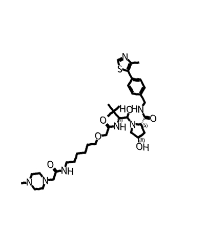 Cc1ncsc1-c1ccc(CNC(=O)[C@@H]2C[C@@H](O)CN2C(O)[C@@H](NC(=O)COCCCCCCNC(=O)CN2CCN(C)CC2)C(C)(C)C)cc1